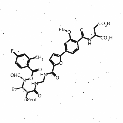 CCCCCC(C(=O)NCNC(=O)c1ccc(-c2ccc(C(=O)NC(CC(=O)O)C(=O)O)c(OCC)c2)o1)[C@@H](CC)N(C=O)OC(=O)c1ccc(F)cc1C